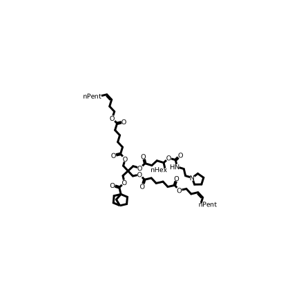 CCCCC/C=C\CCOC(=O)CCCCC(=O)OCC(COC(=O)CCCCC(=O)OCC/C=C\CCCCC)(COC(=O)CCC(CCCCCC)OC(=O)NCCN1CCCC1)COC(=O)C12CCC(CC1)C2